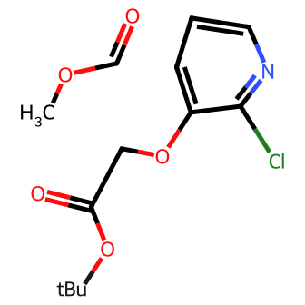 CC(C)(C)OC(=O)COc1cccnc1Cl.COC=O